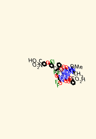 COc1nc(C)nc(NC(=O)NS(=O)(=O)c2ccccc2CCC(F)(F)F)n1.O=C(Nc1nc(OC(F)F)cc(OC(F)F)n1)NS(=O)(=O)c1ccccc1C(=O)O.O=C(O)c1cc(Oc2ccc(C(F)(F)F)cc2Cl)ccc1[N+](=O)[O-]